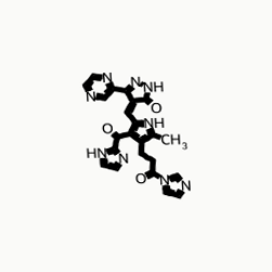 Cc1[nH]c(C=C2C(=O)NN=C2c2cnccn2)c(C(=O)c2ncc[nH]2)c1CCC(=O)n1ccnc1